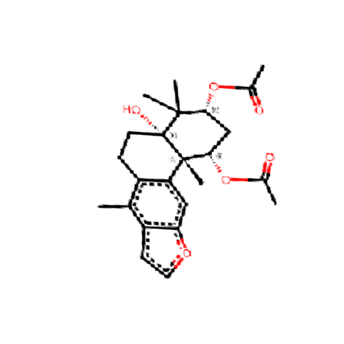 CC(=O)O[C@H]1C[C@@H](OC(C)=O)C(C)(C)[C@]2(O)CCc3c(cc4occc4c3C)[C@@]12C